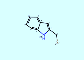 [S]Cc1cc2ccccc2[nH]1